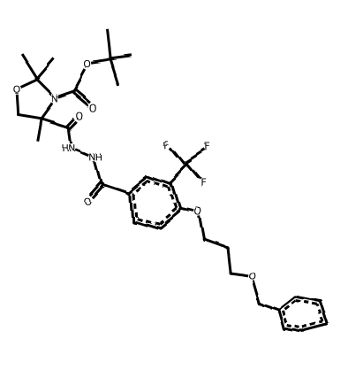 CC(C)(C)OC(=O)N1C(C)(C)OCC1(C)C(=O)NNC(=O)c1ccc(OCCCOCc2ccccc2)c(C(F)(F)F)c1